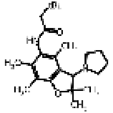 Cc1c(C)c2c(c(C)c1NC(=O)CC(C)(C)C)C(N1CCCC1)C(C)(C)O2